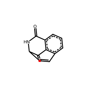 O=C1NC2C=Cc3cccc1c3C2=O